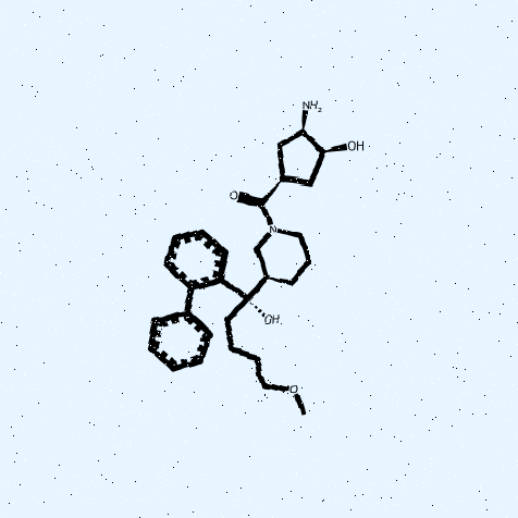 COCCCC[C@@](O)(c1ccccc1-c1ccccc1)[C@@H]1CCCN(C(=O)[C@H]2C[C@@H](N)[C@@H](O)C2)C1